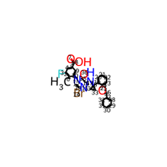 Cc1c(F)cc(C(=O)O)cc1-n1cc(Br)nc(NC2(c3ccccc3OCc3ccccc3)CC2)c1=O